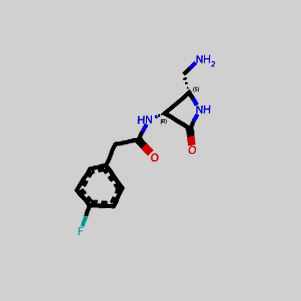 NC[C@@H]1NC(=O)[C@@H]1NC(=O)Cc1ccc(F)cc1